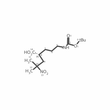 CC(C)(C)OC(=O)NCCC[C@H](CC(C)(C)[N+](=O)[O-])C(=O)O